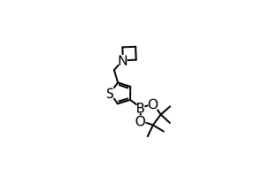 CC1(C)OB(c2csc(CN3CCC3)c2)OC1(C)C